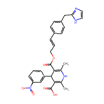 CC1=C(C(=O)O)C(c2cccc([N+](=O)[O-])c2)C(C(=O)OCC=Cc2ccc(Cc3ncc[nH]3)cc2)=C(C)N1